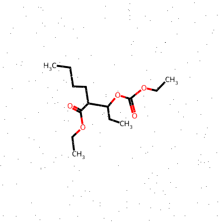 CCCCC(C(=O)OCC)C(CC)OC(=O)OCC